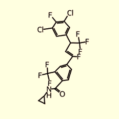 O=C(NC1CC1)c1ccc(/C(F)=C/C(c2cc(Cl)c(F)c(Cl)c2)C(F)(F)F)cc1C(F)(F)F